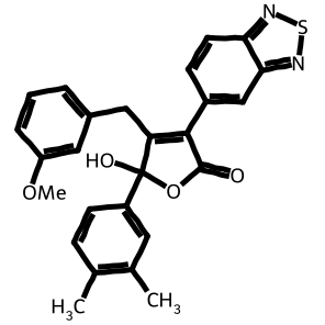 COc1cccc(CC2=C(c3ccc4nsnc4c3)C(=O)OC2(O)c2ccc(C)c(C)c2)c1